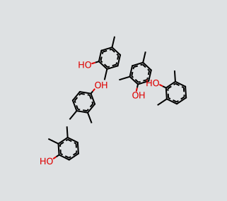 Cc1ccc(C)c(O)c1.Cc1ccc(O)c(C)c1.Cc1ccc(O)cc1C.Cc1cccc(C)c1O.Cc1cccc(O)c1C